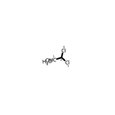 O.O=CC(Cl)Cl